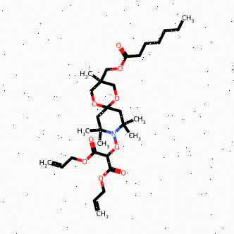 C=CCOC(=O)C(ON1C(C)(C)CC2(CC1(C)C)OCC(C)(COC(=O)CCCCCC)CO2)C(=O)OCC=C